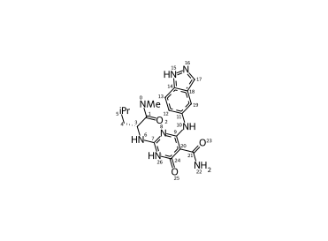 CNC(=O)[C@@H](CC(C)C)Nc1nc(Nc2ccc3[nH]ncc3c2)c(C(N)=O)c(=O)[nH]1